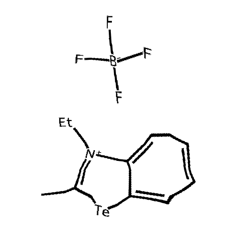 CC[n+]1c(C)[te]c2ccccc21.F[B-](F)(F)F